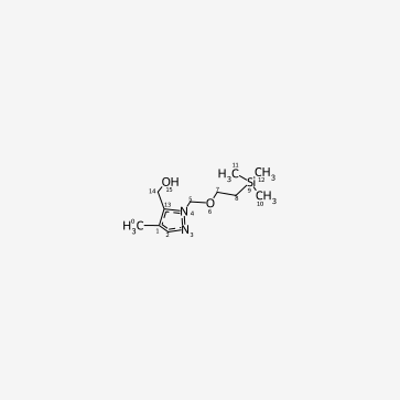 Cc1cnn(COCC[Si](C)(C)C)c1CO